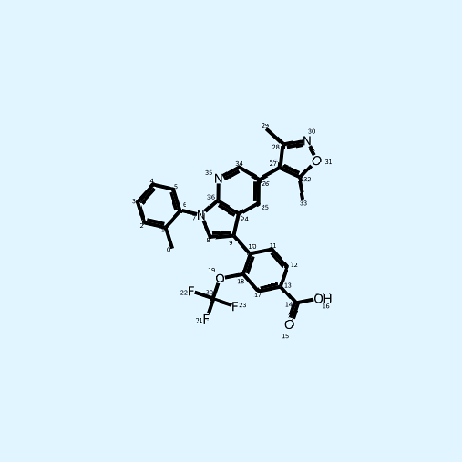 Cc1ccccc1-n1cc(-c2ccc(C(=O)O)cc2OC(F)(F)F)c2cc(-c3c(C)noc3C)cnc21